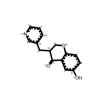 O=C1c2cc(O)ccc2OCC1Cc1cccnc1